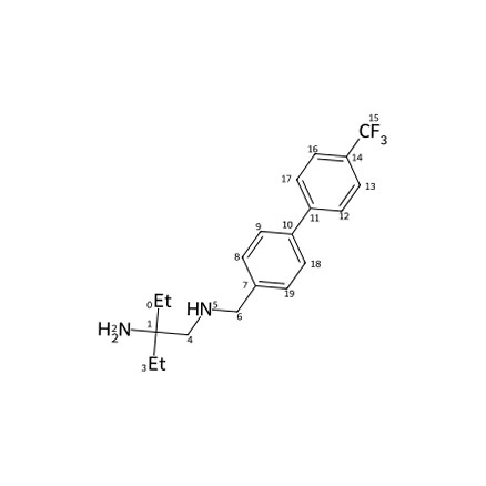 CCC(N)(CC)CNCc1ccc(-c2ccc(C(F)(F)F)cc2)cc1